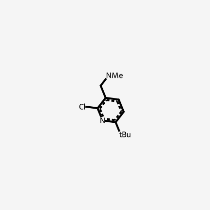 CNCc1ccc(C(C)(C)C)nc1Cl